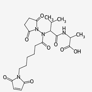 CC(NC(=O)C(C(C)C)N(C(=O)CCCCCN1C(=O)C=CC1=O)N1C(=O)CCC1=O)C(=O)O